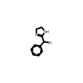 CCC(C1=NCCN1)c1[c]cccc1